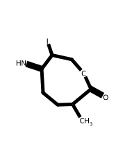 CC1CCC(=N)C(I)CCC1=O